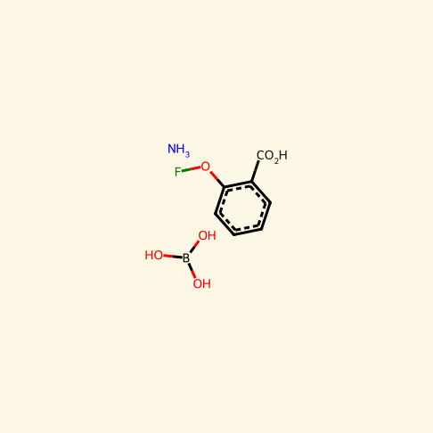 N.O=C(O)c1ccccc1OF.OB(O)O